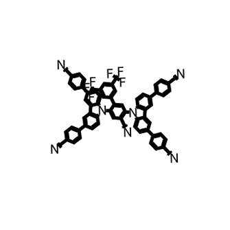 N#Cc1ccc(-c2ccc3c(c2)c2cc(-c4ccc(C#N)cc4)ccc2n3-c2cc(-c3cc(C(F)(F)F)cc(C(F)(F)F)c3)c(-n3c4ccc(-c5ccc(C#N)cc5)cc4c4cc(-c5ccc(C#N)cc5)ccc43)cc2C#N)cc1